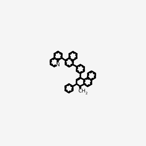 C=C1c2ccc3ccccc3c2C(c2cccc(-c3ccc(-c4cccc5cccnc45)c4ccccc34)c2)=CC1c1ccccc1